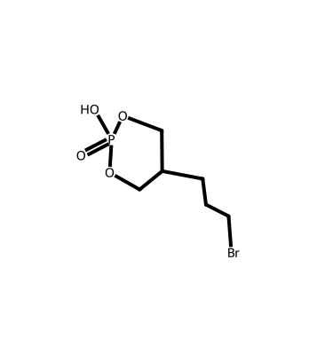 O=P1(O)OCC(CCCBr)CO1